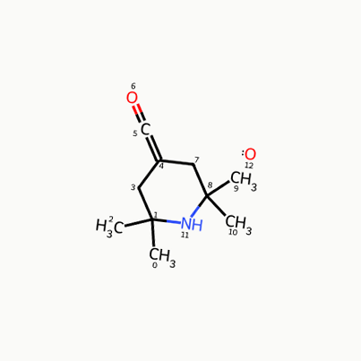 CC1(C)CC(=C=O)CC(C)(C)N1.[O]